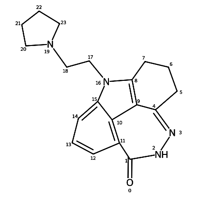 O=C1NN=C2CCCc3c2c2c1cccc2n3CCN1CCCC1